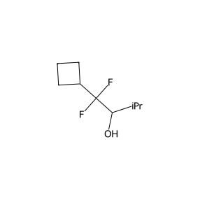 CC(C)C(O)C(F)(F)C1CCC1